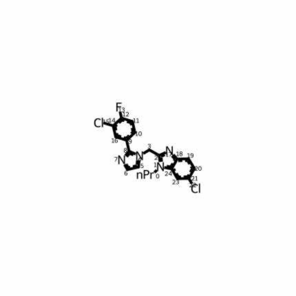 CCCn1c(Cn2ccnc2-c2ccc(F)c(Cl)c2)nc2ccc(Cl)cc21